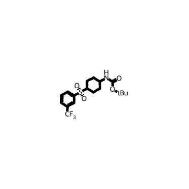 CC(C)(C)OC(=O)NC1CCC(S(=O)(=O)c2cccc(C(F)(F)F)c2)CC1